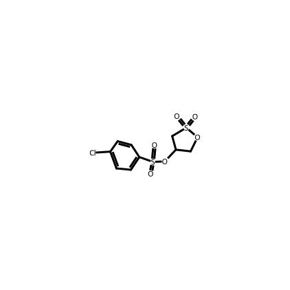 O=S1(=O)CC(OS(=O)(=O)c2ccc(Cl)cc2)CO1